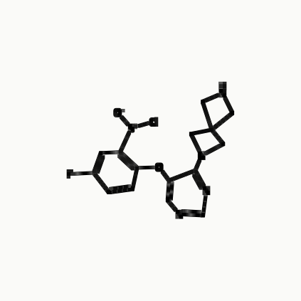 [O-][S+](Cl)c1cc(F)ccc1Oc1cncnc1N1CC2(CNC2)C1